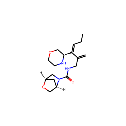 C=C(CNC(=O)N1C[C@H]2C[C@@H]1CO2)/C(=C\CC)[C@@H]1COCCN1